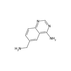 NCc1ccc2ncnc(N)c2c1